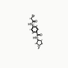 CN1CCC(NC(=O)c2ccc(NC(=O)CBr)cc2)C1